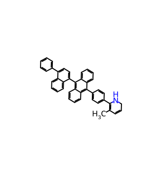 CC1=C(c2ccc(-c3c4ccccc4c(-c4ccc(-c5ccccc5)c5ccccc45)c4ccccc34)cc2)NCC=C1